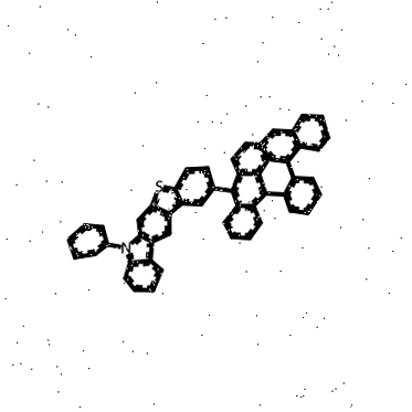 c1ccc(-n2c3ccccc3c3cc4c(cc32)sc2ccc(-c3c5ccccc5c(-c5ccccc5-c5cccc6ccccc56)c5ccccc35)cc24)cc1